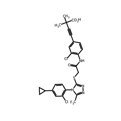 CC(C)(C#Cc1ccc(NC(=O)CSc2nnc(C(F)(F)F)n2-c2ccc(C3CC3)cc2Cl)c(Cl)c1)C(=O)O